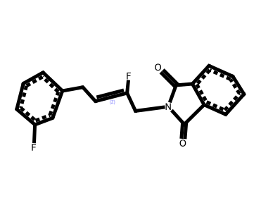 O=C1c2ccccc2C(=O)N1C/C(F)=C/Cc1cccc(F)c1